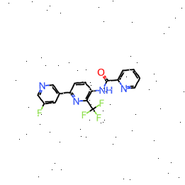 O=C(Nc1ccc(-c2cncc(F)c2)nc1C(F)(F)F)c1ccccn1